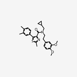 COc1ccc(CCN(CC2CC2)C(=O)c2nc(C)sc2-c2ccc(C)c(C)c2)cc1OC